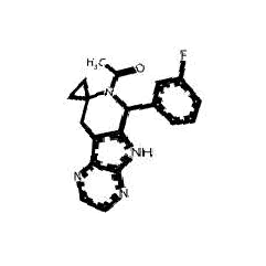 CC(=O)N1C(c2cccc(F)c2)c2[nH]c3nccnc3c2CC12CC2